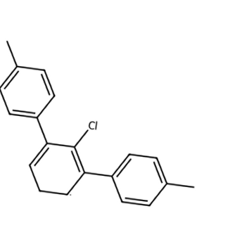 Cc1ccc(C2=CC[CH]C(c3ccc(C)cc3)=C2Cl)cc1